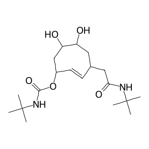 CC(C)(C)NC(=O)CC1/C=C/C(OC(=O)NC(C)(C)C)CC(O)C(O)C1